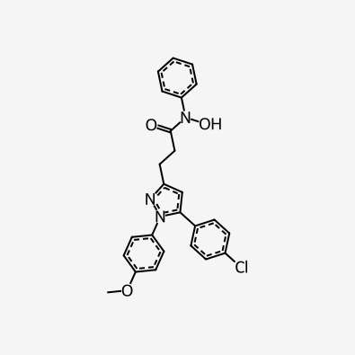 COc1ccc(-n2nc(CCC(=O)N(O)c3ccccc3)cc2-c2ccc(Cl)cc2)cc1